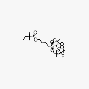 CCC(C)(C)C(=O)OCCCCS(=O)(=O)C(S(C)(=O)=O)S(=O)(=O)C(F)(F)F